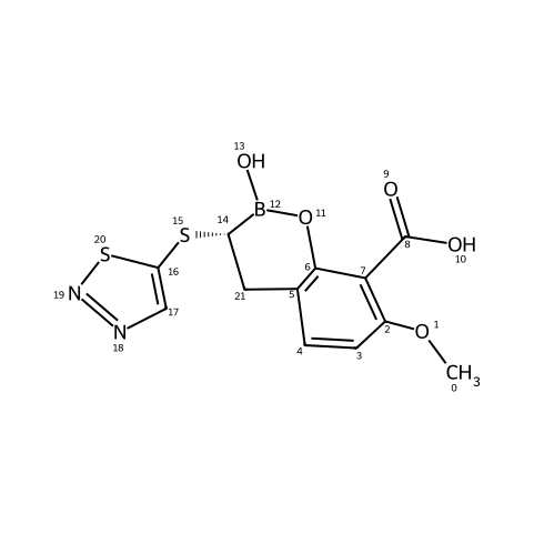 COc1ccc2c(c1C(=O)O)OB(O)[C@@H](Sc1cnns1)C2